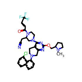 CN1CCCC1COc1nc2c(c(N3CCN(C(=O)/C=C/C(F)(F)F)C(CC#N)C3)n1)CCN(c1cccc3cccc(Cl)c13)C2